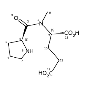 CN(C(=O)[C@@H]1CCCN1)[C@@H](CCC(=O)O)C(=O)O